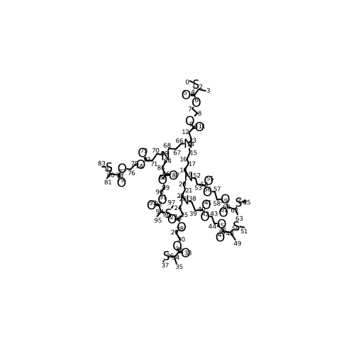 CSC(C)C(=O)OCCOC(=O)CCN(CCCCN(CCCN(CCC(=O)OCCOC(=O)C(C)SC)CCC(=O)OCCOC(=O)C(C)SC)CCC(=O)OCCOC(=O)C(C)SC)CCCN(CCC(=O)OCCOC(=O)C(C)SC)CCC(=O)OCCOC(=O)C(C)SC